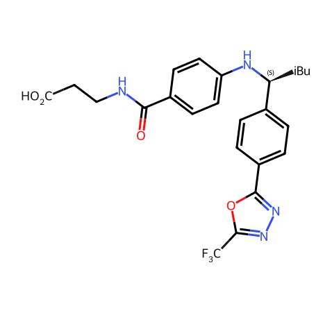 CCC(C)[C@H](Nc1ccc(C(=O)NCCC(=O)O)cc1)c1ccc(-c2nnc(C(F)(F)F)o2)cc1